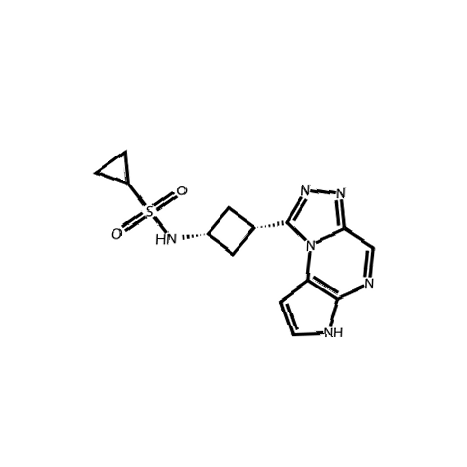 O=S(=O)(N[C@H]1C[C@@H](c2nnc3cnc4[nH]ccc4n32)C1)C1CC1